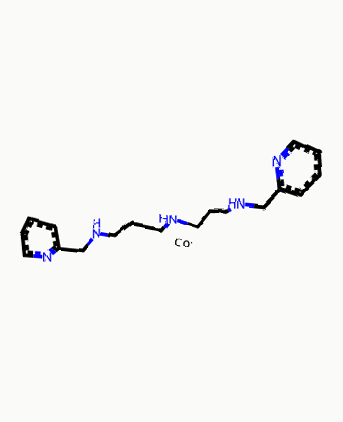 [Co].c1ccc(CNCCCNCCCNCc2ccccn2)nc1